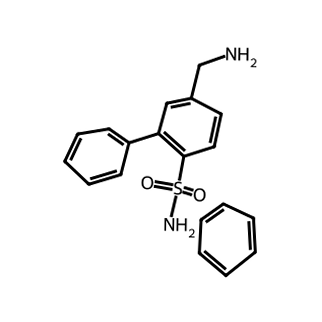 NCc1ccc(S(N)(=O)=O)c(-c2ccccc2)c1.c1ccccc1